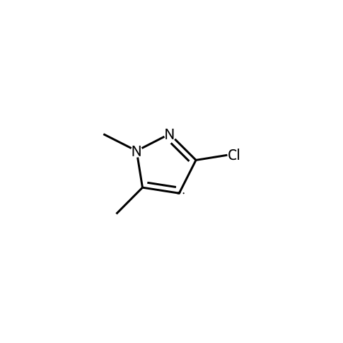 Cc1[c]c(Cl)nn1C